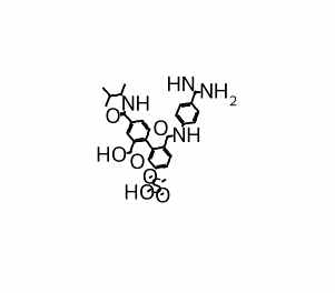 CC(C)C(C)NC(=O)c1ccc(-c2ccccc2C(=O)Nc2ccc(C(=N)N)cc2)c(C(=O)O)c1.CS(=O)(=O)O